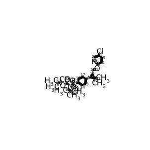 CC(C)(C)OC(=O)N(C(C)(C)C)S(=O)(=O)c1ccc([C@@H]2[C@@H](COc3ccc(Cl)cn3)C2(C)C)cc1